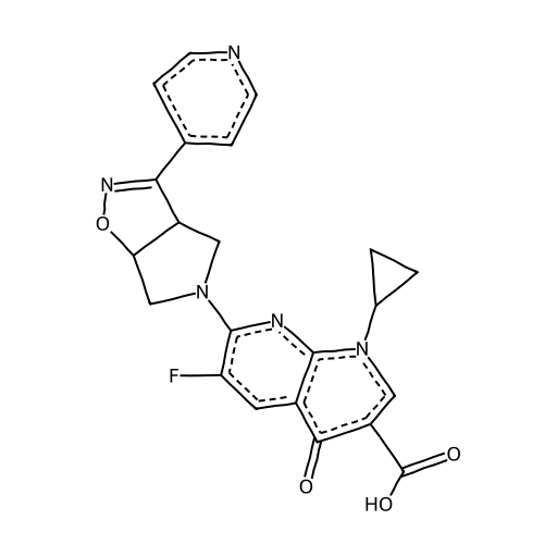 O=C(O)c1cn(C2CC2)c2nc(N3CC4ON=C(c5ccncc5)C4C3)c(F)cc2c1=O